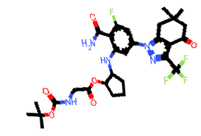 CC1(C)CC(=O)c2c(C(F)(F)F)nn(-c3cc(F)c(C(N)=O)c(NC4CCCC4OC(=O)CNC(=O)OC(C)(C)C)c3)c2C1